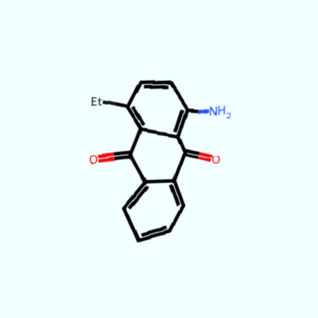 CCc1ccc(N)c2c1C(=O)c1ccccc1C2=O